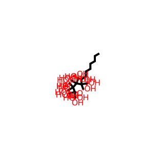 CCCCCCCCC1(C(O)(O)O)COC(C(O)(O)O)(C(O)(O)O)C(C(O)(O)O)(C(O)(O)O)C1(C(O)(O)O)C(O)(O)O